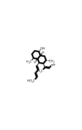 CCC/C=C(/C)[C@H]1[C@@H](/C=C/C=C/C(=O)O)[C@H]2[C@@H](C[C@@H]1C)[C@@H](O)CC[C@@H]2C